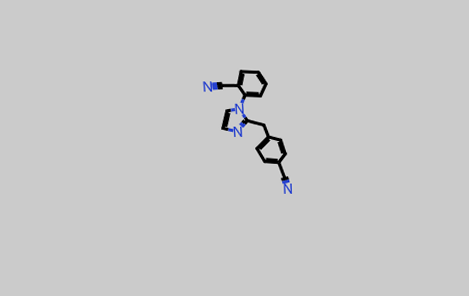 N#Cc1ccc(Cc2nccn2-c2ccccc2C#N)cc1